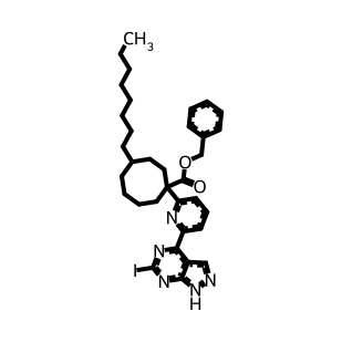 CCCCCCCCC1CCCCC(C(=O)OCc2ccccc2)(c2cccc(-c3nc(I)nc4[nH]ncc34)n2)CC1